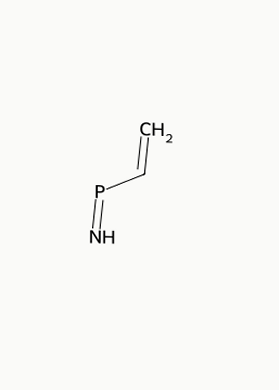 C=CP=N